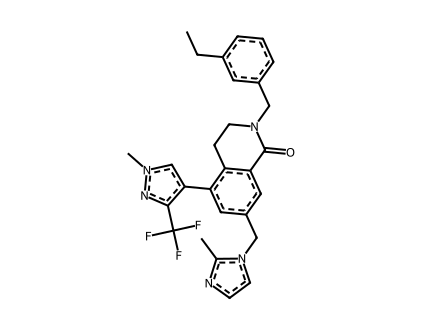 CCc1cccc(CN2CCc3c(cc(Cn4ccnc4C)cc3-c3cn(C)nc3C(F)(F)F)C2=O)c1